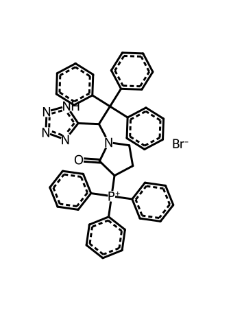 O=C1C([P+](c2ccccc2)(c2ccccc2)c2ccccc2)CCN1C(c1nnn[nH]1)C(c1ccccc1)(c1ccccc1)c1ccccc1.[Br-]